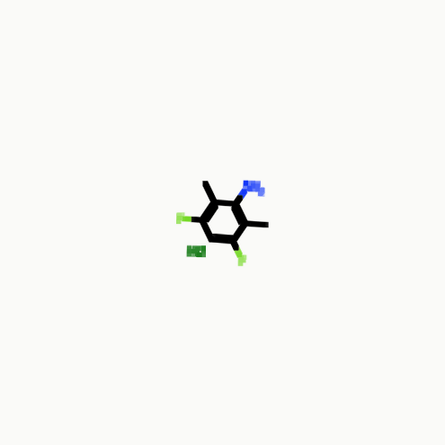 Cc1c(F)cc(F)c(C)c1N.Cl